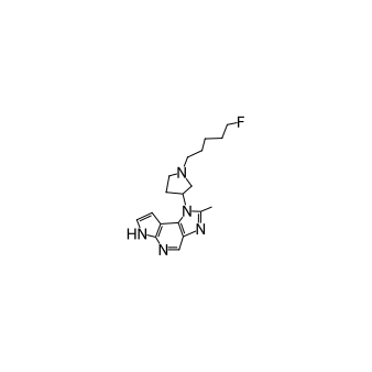 Cc1nc2cnc3[nH]ccc3c2n1C1CCN(CCCCCF)C1